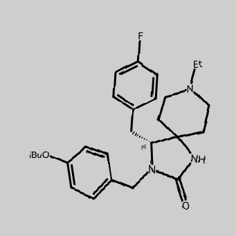 CCN1CCC2(CC1)NC(=O)N(Cc1ccc(OCC(C)C)cc1)[C@@H]2Cc1ccc(F)cc1